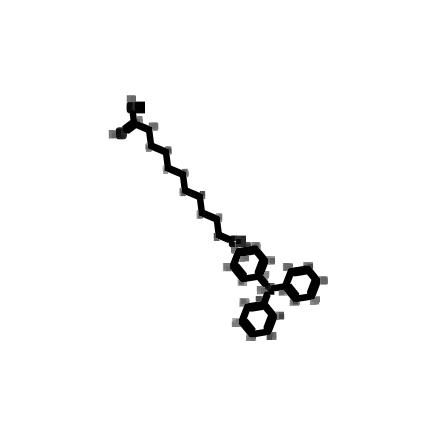 CCCCCCCCCCCC(=O)O.c1ccc(N(c2ccccc2)c2ccccc2)cc1